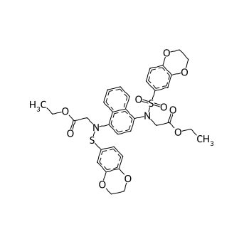 CCOC(=O)CN(Sc1ccc2c(c1)OCCO2)c1ccc(N(CC(=O)OCC)S(=O)(=O)c2ccc3c(c2)OCCO3)c2ccccc12